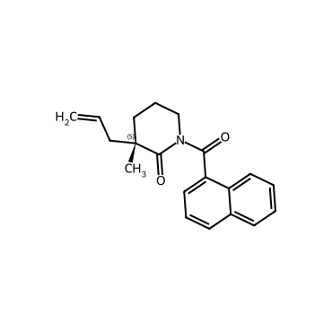 C=CC[C@]1(C)CCCN(C(=O)c2cccc3ccccc23)C1=O